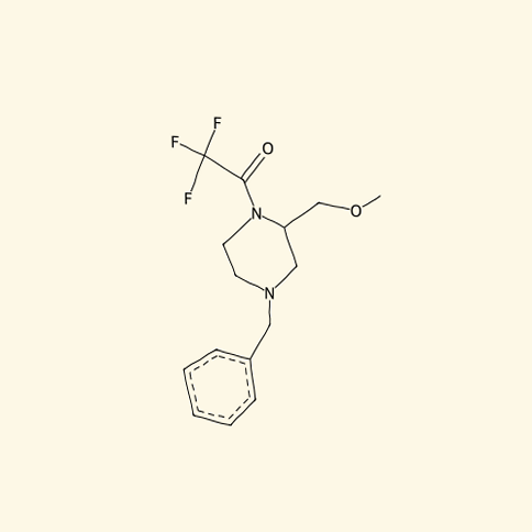 COCC1CN(Cc2ccccc2)CCN1C(=O)C(F)(F)F